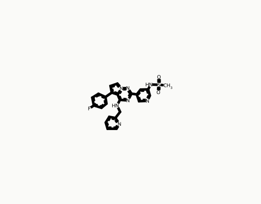 CS(=O)(=O)Nc1cncc(-c2nc(NCc3ccccn3)c3c(-c4ccc(F)cc4)ccn3n2)c1